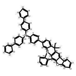 CC1(C)c2ccc(-c3ccc(N(c4ccc(-c5ccccc5)cc4)c4ccc(-c5ccccc5)cc4)cc3)cc2-n2c3ccccc3c3c4oc5ccccc5c4cc1c32